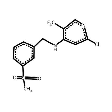 CS(=O)(=O)c1cccc(CNc2cc(Cl)ncc2C(F)(F)F)c1